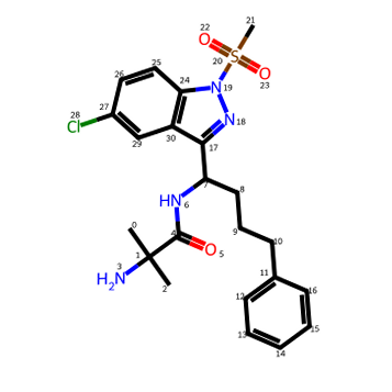 CC(C)(N)C(=O)NC(CCCc1ccccc1)c1nn(S(C)(=O)=O)c2ccc(Cl)cc12